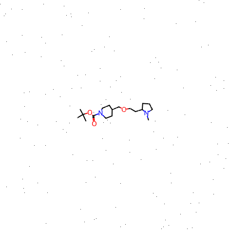 CN1CCCC1CCOCC1CCN(C(=O)OC(C)(C)C)CC1